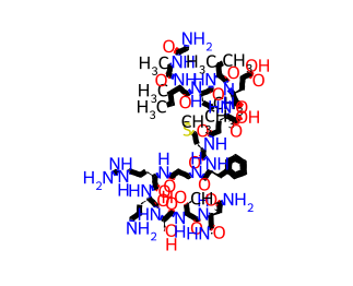 CC[C@H](C)[C@H](NC(=O)[C@H](C)NC(=O)CN)C(=O)N[C@@H](CC(C)C)C(=O)N[C@H](C(=O)N[C@@H](CCC(=O)O)C(=O)N[C@@H](CCC(=O)N[C@@H](CCSC)C(=O)N[C@@H](Cc1ccccc1)C(=O)NCCC(=O)N[C@@H](CCCNC(=N)N)C(=O)N[C@@H](CCCN)C(=O)N[C@@H](CO)C(=O)N[C@H](C(=O)N[C@@H](CC(N)=O)C([NH])=O)[C@@H](C)O)C(=O)O)C(C)C